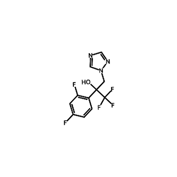 OC(Cn1cncn1)(c1ccc(F)cc1F)C(F)(F)F